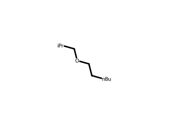 [CH2]C(C)COCCCCCC